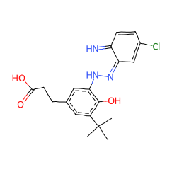 CC(C)(C)c1cc(CCC(=O)O)cc(N/N=C2/C=C(Cl)C=CC2=N)c1O